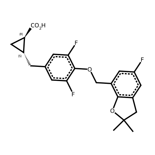 CC1(C)Cc2cc(F)cc(COc3c(F)cc(C[C@@H]4C[C@H]4C(=O)O)cc3F)c2O1